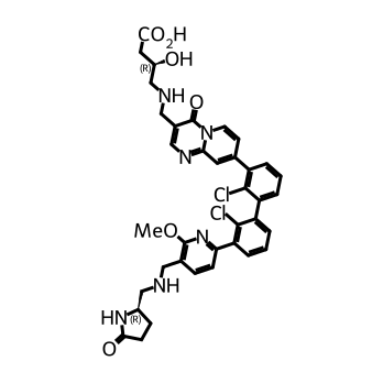 COc1nc(-c2cccc(-c3cccc(-c4ccn5c(=O)c(CNC[C@H](O)CC(=O)O)cnc5c4)c3Cl)c2Cl)ccc1CNC[C@H]1CCC(=O)N1